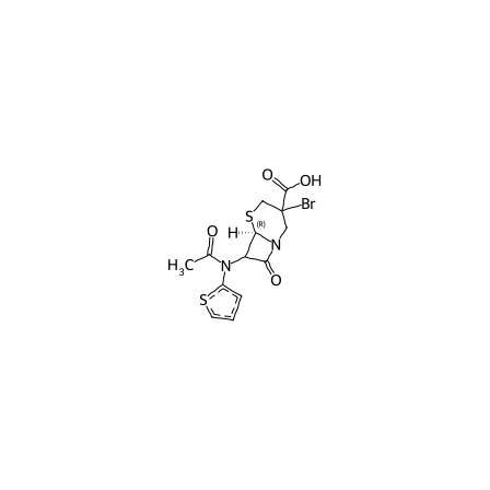 CC(=O)N(c1cccs1)C1C(=O)N2CC(Br)(C(=O)O)CS[C@H]12